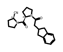 N#C[C@@H]1CCCN1C(=O)[C@H]1CCCN1C(=O)CC1Cc2ccccc2C1